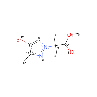 COC(=O)C(C)(C)n1cc(Br)c(C)n1